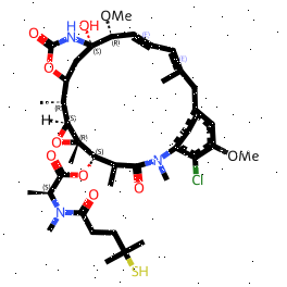 COc1cc2cc(c1Cl)N(C)C(=O)C(C)[C@H](OC(=O)[C@H](C)N(C)C(=O)CCC(C)(C)S)[C@]1(C)O[C@H]1[C@H](C)C1C[C@@](O)(NC(=O)O1)[C@H](OC)/C=C/C=C(\C)C2